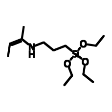 CC=C(C)NCCC[Si](OCC)(OCC)OCC